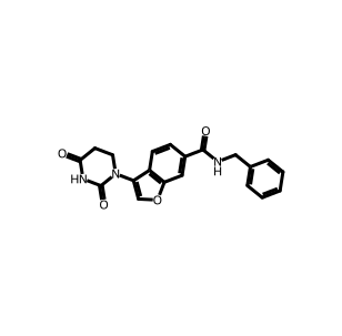 O=C1CCN(c2coc3cc(C(=O)NCc4ccccc4)ccc23)C(=O)N1